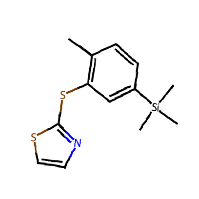 Cc1ccc([Si](C)(C)C)cc1Sc1nccs1